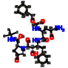 CC(C)(C)NC(=O)[C@@H]1CC(=O)CN1C(=O)[C@@H](O)[C@H](Cc1ccccc1)NC(=O)[C@H](CC(N)=O)NC(=O)OCc1ccccc1